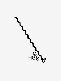 CCCCCCCCCCCCCCCCCCC(CCN(C)C)S(=O)(=O)O